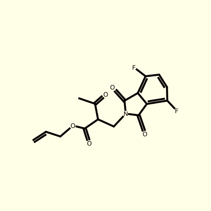 C=CCOC(=O)C(CN1C(=O)c2c(F)ccc(F)c2C1=O)C(C)=O